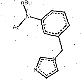 CCCCN(C(C)=O)c1cccc(Cn2ccnc2)c1